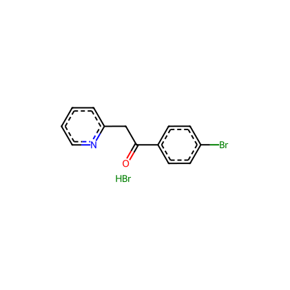 Br.O=C(Cc1ccccn1)c1ccc(Br)cc1